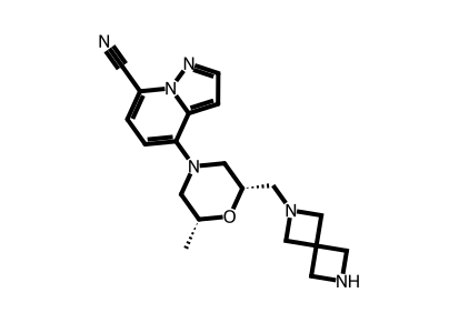 C[C@@H]1CN(c2ccc(C#N)n3nccc23)C[C@H](CN2CC3(CNC3)C2)O1